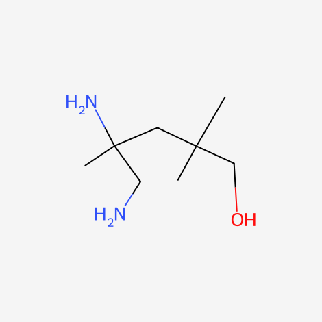 CC(C)(CO)CC(C)(N)CN